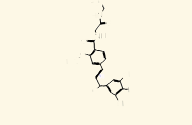 O=C(CNC(=O)c1ccc(/C=C/C(c2cc(Cl)c(F)c(Cl)c2)C(F)(F)F)cc1OC(F)(F)F)NCC(F)(F)F